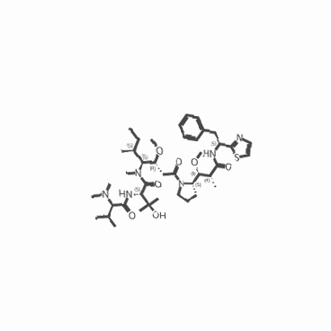 CC[C@H](C)[C@@H]([C@@H](CC(=O)N1CCC[C@H]1[C@H](OC)[C@@H](C)C(=O)N[C@@H](Cc1ccccc1)c1nccs1)OC)N(C)C(=O)[C@@H](NC(=O)C(C(C)C)N(C)C)C(C)(C)O